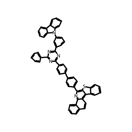 c1ccc(-c2nc(-c3ccc(-c4ccc(-c5nc6c7ccccc7ccc6c6c5sc5ccccc56)cc4)cc3)nc(-c3cccc(-n4c5ccccc5c5ccccc54)c3)n2)cc1